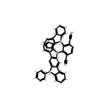 N#Cc1ccc(C#N)c(-n2c3ccccc3c3cc4c(cc32)c2ccccc2n4-c2ccccc2)c1-n1c2ccccc2c2ccccc21